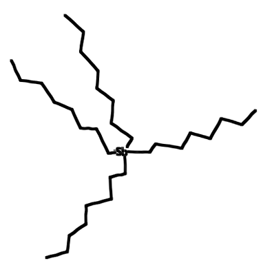 CCCCCCC[CH2][Sb]([CH2]CCCCCCC)([CH2]CCCCCCC)[CH2]CCCCCCC